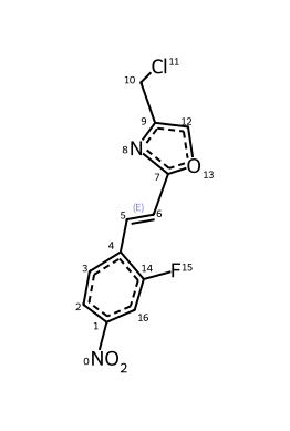 O=[N+]([O-])c1ccc(/C=C/c2nc(CCl)co2)c(F)c1